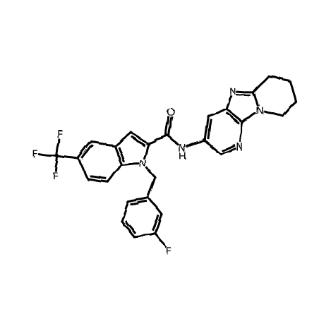 O=C(Nc1cnc2c(c1)nc1n2CCCC1)c1cc2cc(C(F)(F)F)ccc2n1Cc1cccc(F)c1